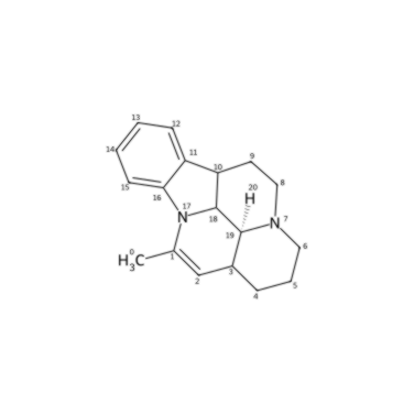 CC1=CC2CCCN3CCC4c5ccccc5N1C4[C@H]23